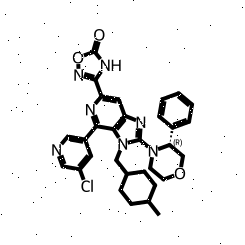 CC1CCC(Cn2c(N3CCOC[C@H]3c3ccccc3)nc3cc(-c4noc(=O)[nH]4)nc(-c4cncc(Cl)c4)c32)CC1